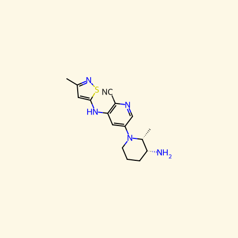 Cc1cc(Nc2cc(N3CCC[C@@H](N)[C@H]3C)cnc2C#N)sn1